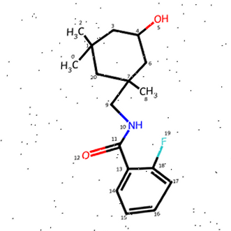 CC1(C)CC(O)CC(C)(CNC(=O)c2ccccc2F)C1